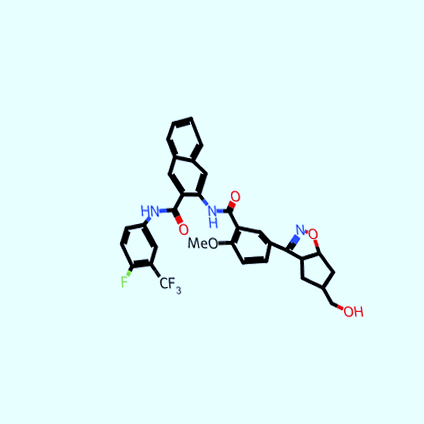 COc1ccc(C2=NOC3CC(CO)CC23)cc1C(=O)Nc1cc2ccccc2cc1C(=O)Nc1ccc(F)c(C(F)(F)F)c1